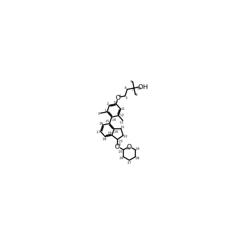 Cc1cc(OCCC(C)(C)O)cc(C)c1-c1cccc2c1CCC2OC1CCCCO1